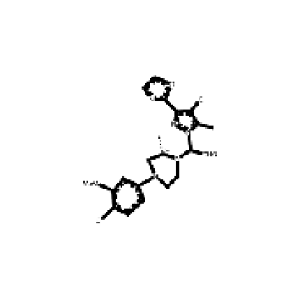 COc1cc(N2CCN(C(C=O)n3nc(-c4ncco4)c(Cl)c3C)[C@@H](C)C2)ccc1Cl